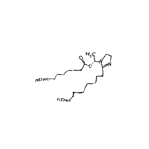 CCCCCCCCCCCCCCCCC1=NCCN1C(C)OC(=O)CCCCCCCCCCCCCCC